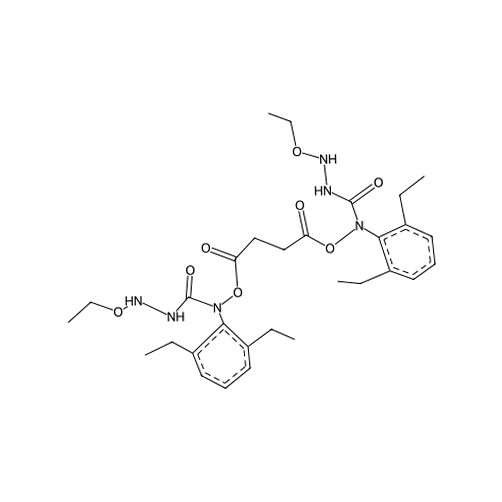 CCONNC(=O)N(OC(=O)CCC(=O)ON(C(=O)NNOCC)c1c(CC)cccc1CC)c1c(CC)cccc1CC